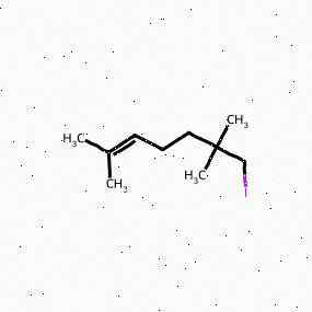 CC(C)=CCCC(C)(C)CI